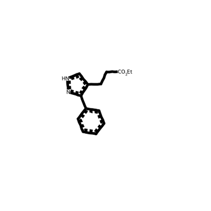 CCOC(=O)CCc1c[nH]nc1-c1ccccc1